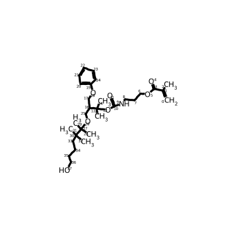 C=C(C)C(=O)OCCCNC(=O)OC(C)(C)C(COc1ccccc1)COC(C)(C)C(C)(C)CCCCO